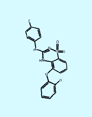 O=S1(=O)N=C(Nc2ccc(F)cc2)Nc2c(Oc3ccccc3Cl)cccc21